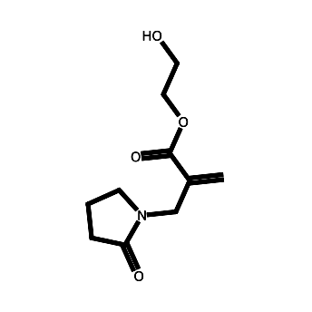 C=C(CN1CCCC1=O)C(=O)OCCO